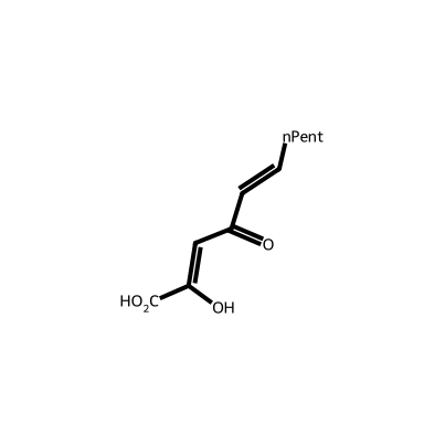 CCCCC/C=C/C(=O)/C=C(\O)C(=O)O